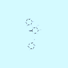 CCc1nn(CCc2ccccc2)c(=O)c(-c2ccccc2C)c1O